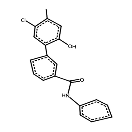 Cc1cc(O)c(-c2cccc(C(=O)Nc3ccccc3)c2)cc1Cl